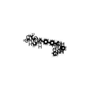 COC(=O)N[C@H](C(=O)N1CCC[C@H]1c1ncc(-c2ccc(-c3ccc(-c4cnc([C@@H]5[C@H]6CC[C@H](C6)[C@H]5C(=O)NN5CCCC5=O)[nH]4)cc3)cc2)[nH]1)C(C)C